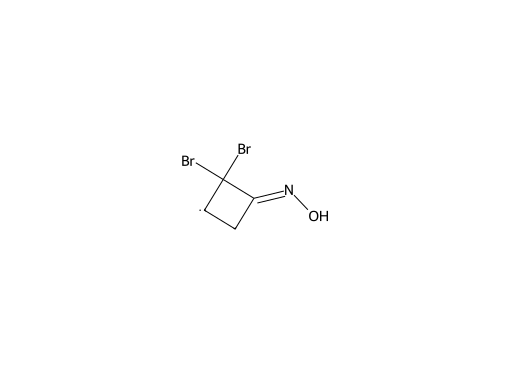 ON=C1C[CH]C1(Br)Br